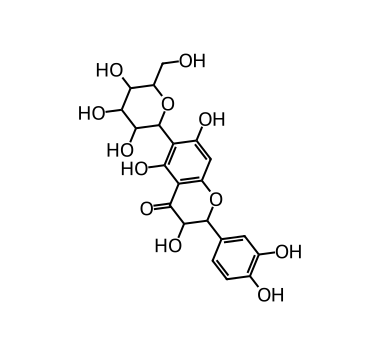 O=C1c2c(cc(O)c(C3OC(CO)C(O)C(O)C3O)c2O)OC(c2ccc(O)c(O)c2)C1O